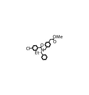 CC[C@@H](c1ccccc1)N(Cc1ccc(CC(=O)OC)cc1)C(=O)c1ccc(Cl)cc1